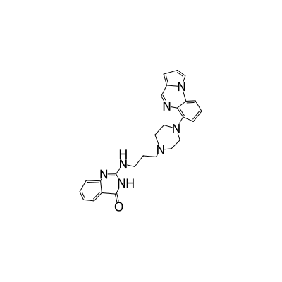 O=c1[nH]c(NCCCN2CCN(c3cccc4c3ncc3cccn34)CC2)nc2ccccc12